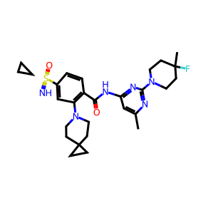 Cc1cc(NC(=O)c2ccc([S@](=N)(=O)C3CC3)cc2N2CCC3(CC2)CC3)nc(N2CCC(C)(F)CC2)n1